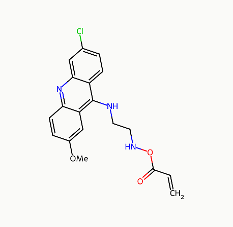 C=CC(=O)ONCCNc1c2ccc(Cl)cc2nc2ccc(OC)cc12